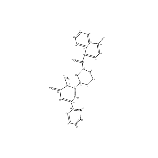 Cn1c(N2CCOC(C(=O)c3ccc(F)c4ccccc34)C2)nc(-c2ccncn2)cc1=O